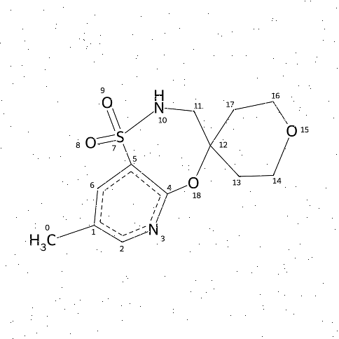 Cc1cnc2c(c1)S(=O)(=O)NCC1(CCOCC1)O2